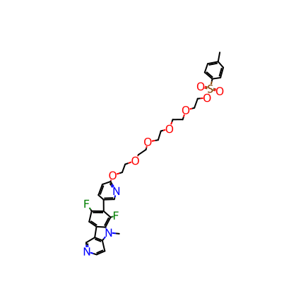 Cc1ccc(S(=O)(=O)OCCOCCOCCOCCOCCOc2ccc(-c3c(F)cc4c5cnccc5n(C)c4c3F)cn2)cc1